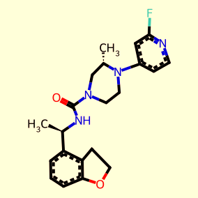 C[C@@H](NC(=O)N1CCN(c2ccnc(F)c2)[C@@H](C)C1)c1cccc2c1CCO2